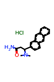 CN(C)C(CC(N)=O)c1ccc2cc3ccccc3cc2c1.Cl